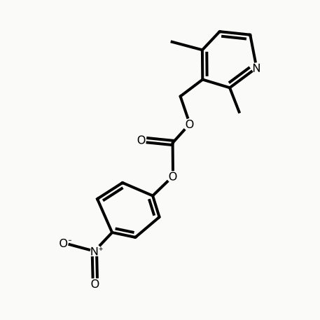 Cc1ccnc(C)c1COC(=O)Oc1ccc([N+](=O)[O-])cc1